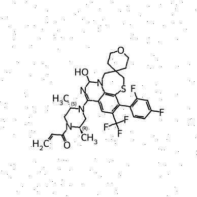 C=CC(=O)N1C[C@H](C)N(C2=NC(O)N3CC4(CCOCC4)CSc4c(-c5ccc(F)cc5F)c(C(F)(F)F)cc2c43)C[C@H]1C